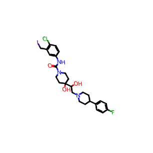 O=C(Nc1ccc(Cl)c(CI)c1)N1CCC(O)(C(O)CN2CCC(c3ccc(F)cc3)CC2)CC1